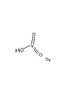 [Dy].[O]=[V](=[O])[OH]